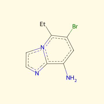 CCc1c(Br)cc(N)c2nccn12